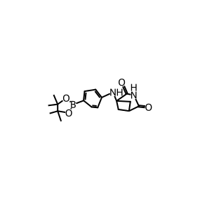 CC1(C)OB(c2ccc(NC34CC(C3)C(=O)NC4=O)cc2)OC1(C)C